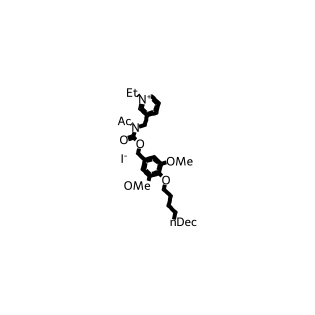 CCCCCCCCCCCCCCOc1c(OC)cc(COC(=O)N(Cc2ccc[n+](CC)c2)C(C)=O)cc1OC.[I-]